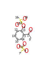 CC(=O)c1c(OS(C)(=O)=O)cccc1OS(C)(=O)=O